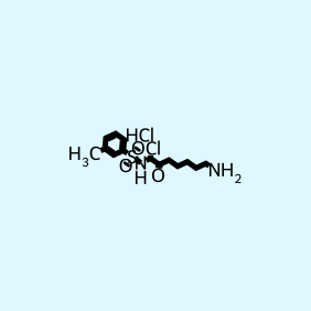 Cc1cccc(S(=O)(=O)NC(Cl)C(=O)CCCCCN)c1.Cl